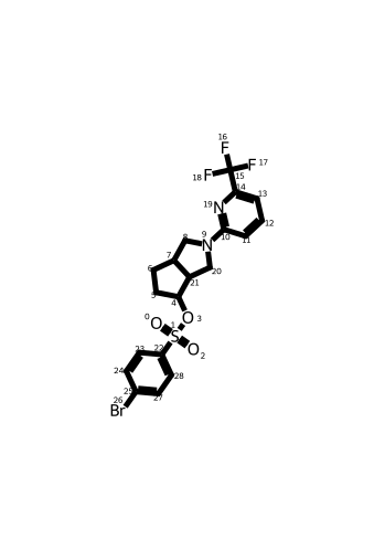 O=S(=O)(OC1CCC2CN(c3cccc(C(F)(F)F)n3)CC21)c1ccc(Br)cc1